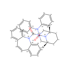 O=C(N1C[C@H]2CCC[C@@H](C1)N2C(=O)N(c1ccccc1)c1ccccc1)N1c2ccccc2C=Cc2ccccc21